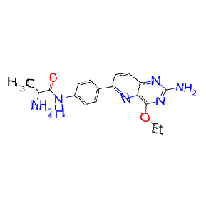 CCOc1nc(N)nc2ccc(-c3ccc(NC(=O)C(C)N)cc3)nc12